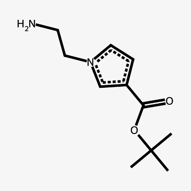 CC(C)(C)OC(=O)c1ccn(CCN)c1